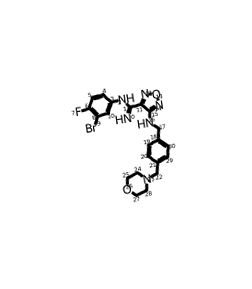 N=C(Nc1ccc(F)c(Br)c1)c1nonc1NCc1ccc(CN2CCOCC2)cc1